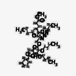 CCCCOC1[C@@H](OC[C@H](N=[N+]=[N-])[C@H](OCCCC)[C@@H](CCCC(=O)OC)OCCCC)OC2COC(c3ccccc3)O[C@@H]2[C@@H]1OCCCC